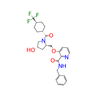 O=C(NCc1ccccc1)c1ncccc1OC[C@H]1C[C@H](O)CN1C(=O)[C@H]1CC[C@H](C(F)(F)F)CC1